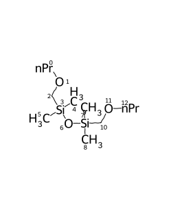 CCCOC[Si](C)(C)O[Si](C)(C)COCCC